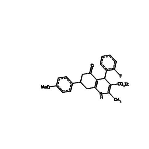 CCOC(=O)C1=C(C)NC2=C(C(=O)CC(c3ccc(OC)cc3)C2)C1c1ccccc1F